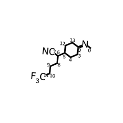 CN=C1CCC(C(C#N)CCCC(F)(F)F)CC1